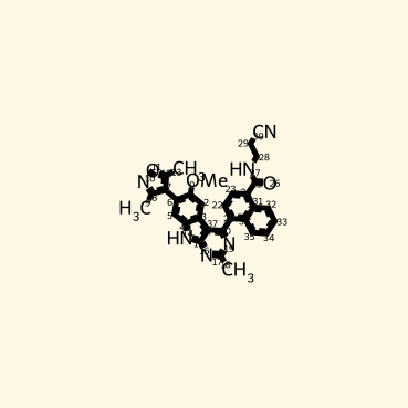 COc1cc2c(cc1-c1c(C)noc1C)[nH]c1nc(C)nc(-c3ccc(C(=O)NCCC#N)c4ccccc34)c12